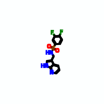 O=S(=O)(NCc1c[nH]c2ncccc12)c1ccc(F)c(F)c1